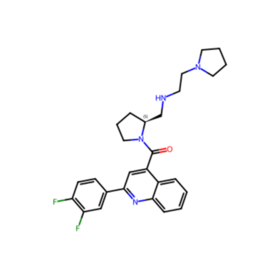 O=C(c1cc(-c2ccc(F)c(F)c2)nc2ccccc12)N1CCC[C@H]1CNCCN1CCCC1